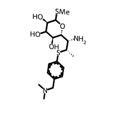 CSC1O[C@H]([C@H](N)[C@H](C)Sc2ccc(CN(C)C)cc2)[C@@H](O)C(O)[C@H]1O